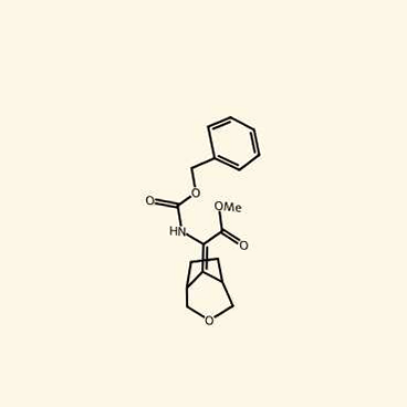 COC(=O)C(NC(=O)OCc1ccccc1)=C1C2CCC1COC2